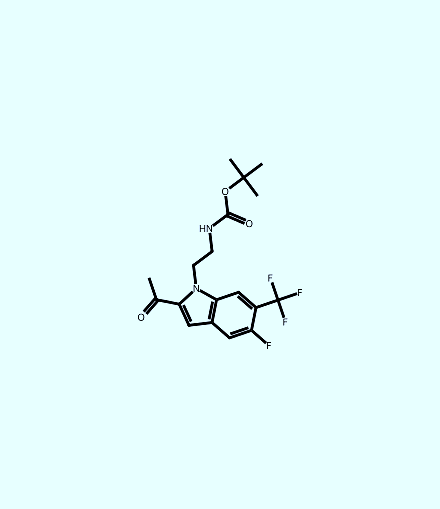 CC(=O)c1cc2cc(F)c(C(F)(F)F)cc2n1CCNC(=O)OC(C)(C)C